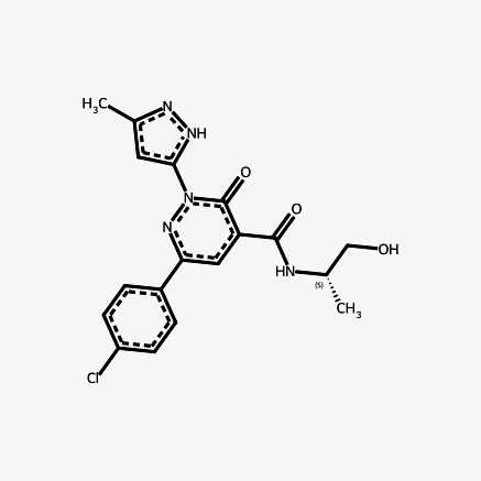 Cc1cc(-n2nc(-c3ccc(Cl)cc3)cc(C(=O)N[C@@H](C)CO)c2=O)[nH]n1